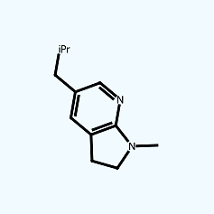 CC(C)Cc1cnc2c(c1)CCN2C